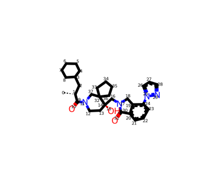 C[C@H](CC1CCCCC1)C(=O)N1CC[C@@](O)(CN2Cc3c(cccc3-n3cccn3)C2=O)C2(CCCC2)C1